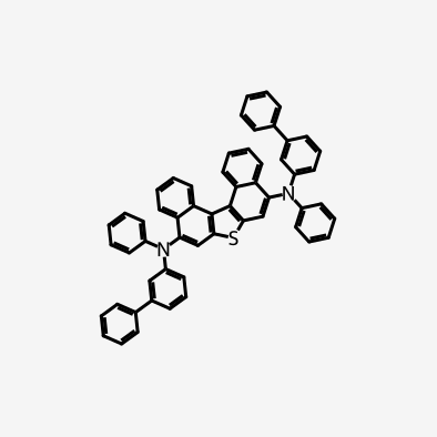 c1ccc(-c2cccc(N(c3ccccc3)c3cc4sc5cc(N(c6ccccc6)c6cccc(-c7ccccc7)c6)c6ccccc6c5c4c4ccccc34)c2)cc1